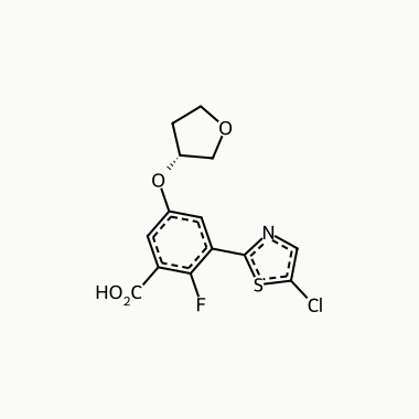 O=C(O)c1cc(O[C@@H]2CCOC2)cc(-c2ncc(Cl)s2)c1F